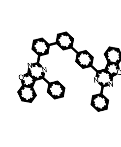 c1ccc(-c2nc(-c3ccc(-c4cccc(-c5cccc(-c6nc(-c7ccccc7)c7c(n6)oc6ccccc67)c5)c4)cc3)c3c(n2)oc2ccccc23)cc1